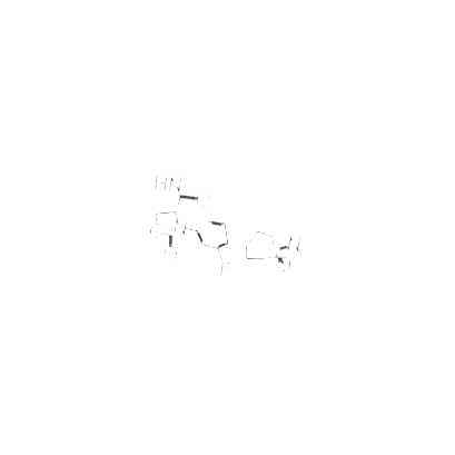 CN=[S@]1(=O)CC[C@H](c2ccc(N3C(=O)OC[C@H]3C(=O)NC)cc2F)CC1